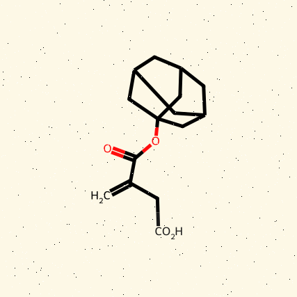 C=C(CC(=O)O)C(=O)OC12CC3CC(CC(C3)C1)C2